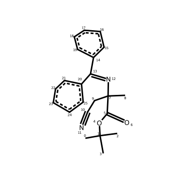 CC(C)(C)OC(=O)C(C)(CC#N)N=C(c1ccccc1)c1ccccc1